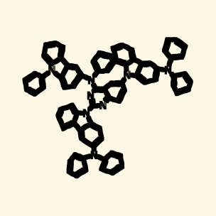 c1ccc(N(c2ccccc2)c2ccc3c(c2)c2ccccc2n3-c2ccc3nc(-n4c5ccccc5c5cc(N(c6ccccc6)c6ccccc6)ccc54)nc(N(c4ccccc4)c4ccc5c(c4)c4ccccc4n5-c4ccccc4)c3c2)cc1